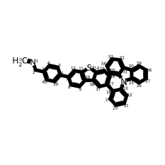 C=NCc1ccc(-c2ccc3c(c2)sc2ccc(-c4ccccc4-n4c5ccccc5c5ccccc54)cc23)cc1